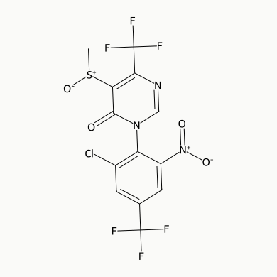 C[S+]([O-])c1c(C(F)(F)F)ncn(-c2c(Cl)cc(C(F)(F)F)cc2[N+](=O)[O-])c1=O